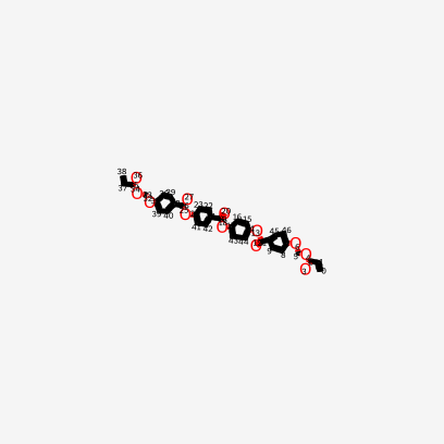 C=CC(=O)OCOc1ccc(C(=O)Oc2ccc(OC(=O)c3ccc(OC(=O)c4ccc(OCOC(=O)C=C)cc4)cc3)cc2)cc1